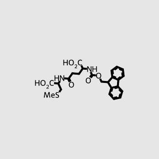 CSCC(NC(=O)CCC(NC(=O)OCC1c2ccccc2-c2ccccc21)C(=O)O)C(=O)O